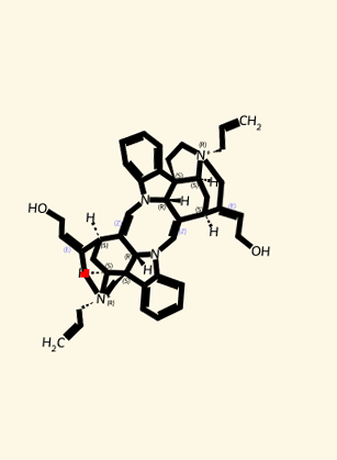 C=CC[N@@+]12CC[C@@]34c5ccccc5N5/C=C6/[C@H]7C[C@H]8[C@@]9(CC[N@@+]8(CC=C)C/C7=C/CO)c7ccccc7N(/C=C(/[C@@H](C[C@@H]31)/C(=C\CO)C2)[C@H]54)[C@@H]69